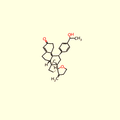 C=C1CCO[C@@]12CC[C@H]1[C@@H]3CCC4=CC(=O)CCC4=C3[C@@H](c3ccc(C(C)O)cc3)C[C@@]12C